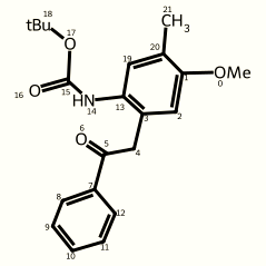 COc1cc(CC(=O)c2ccccc2)c(NC(=O)OC(C)(C)C)cc1C